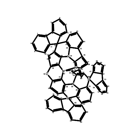 c1ccc2c(c1)-c1ccccc1C21c2ccc3c4c2-n2c5c1cccc5c1ccc[n+](c12)[N+]41c2c(ccc4c2N2c5c(cccc5[Si]5(c6ccccc6-c6ccccc65)c5ccc[n+]1c52)[Si]41c2ccccc2-c2ccccc21)O3